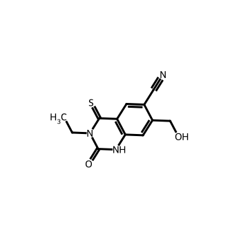 CCn1c(=O)[nH]c2cc(CO)c(C#N)cc2c1=S